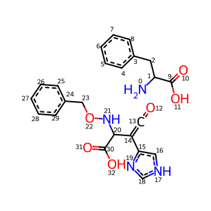 NC(Cc1ccccc1)C(=O)O.O=C=C(c1c[nH]cn1)C(NOCc1ccccc1)C(=O)O